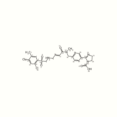 Cc1cc(S(=O)(=O)CNC/C=C/C(=O)N(C)Cc2ccc(C3=NCCN3C(=O)O)cc2)c(Cl)cc1Cl